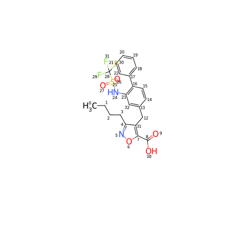 CCCCc1noc(C(=O)O)c1Cc1ccc(-c2ccccc2)c(NS(=O)(=O)C(F)(F)F)c1